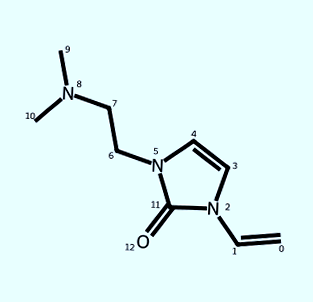 C=Cn1ccn(CCN(C)C)c1=O